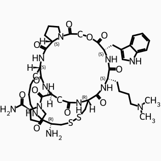 CN(C)CCCC[C@@H]1NC(=O)[C@@H]2CSSC[C@H](N)C(=O)NCCCC[C@H](NC(=O)[C@@H]3CCCN3C(=O)COC(=O)[C@H](Cc3c[nH]c4ccccc34)NC1=O)C(=O)N[C@H](C(=O)N1CCC[C@H]1C(N)=O)CC(=O)N2